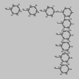 Cc1ccccc1.Cc1ccccc1.Cc1ccccc1.Cc1ccccc1.Cc1ccccc1.Cc1ccccc1.Cc1ccccc1.Cc1ccccc1.Cc1ccccc1